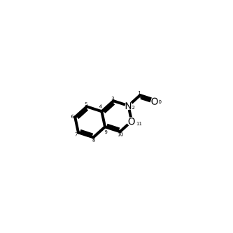 O=[C]N1C=c2ccccc2=CO1